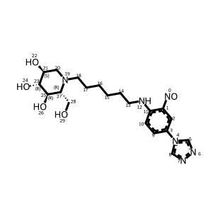 O=Nc1cc(-n2cnnc2)ccc1NCCCCCCN1C[C@H](O)[C@@H](O)[C@H](O)[C@H]1CO